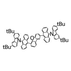 CC(C)(C)c1ccc2c(c1)c1cc(C(C)(C)C)ccc1n2-c1c2ccccc2c(-c2ccc3oc4c(-c5c6ccccc6c(-n6c7ccc(C(C)(C)C)cc7c7cc(C(C)(C)C)ccc76)c6ccccc56)cccc4c3c2)c2ccccc12